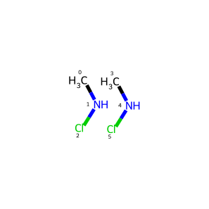 CNCl.CNCl